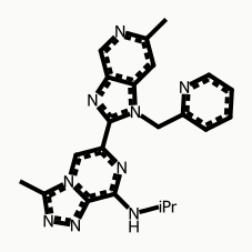 Cc1cc2c(cn1)nc(-c1cn3c(C)nnc3c(NC(C)C)n1)n2Cc1ccccn1